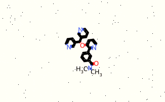 CN(C)C(=O)c1cccc(-c2ncccc2OC(c2cccnc2)c2cccnc2)c1